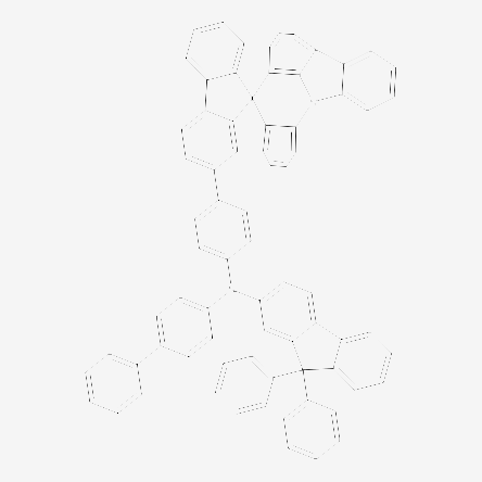 c1ccc(-c2ccc(N(c3ccc(-c4ccc5c(c4)C4(c6ccccc6-5)c5ccccc5-n5c6ccccc6c6cccc4c65)cc3)c3ccc4c(c3)C(c3ccccc3)(c3ccccc3)c3ccccc3-4)cc2)cc1